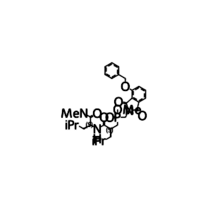 CNC(=O)[C@H](CC(C)C)NC(=O)[C@H](CC(C)C)CP(=O)(CN1C(=O)c2cccc(OCc3ccccc3)c2C1=O)OC